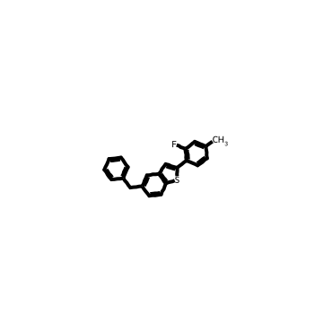 Cc1ccc(-c2cc3cc(Cc4ccccc4)ccc3s2)c(F)c1